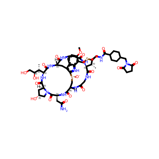 CC[C@H](C)[C@@H]1NC(=O)CCNC(=O)[C@@H]2Cc3c([nH]c4c(CSCCNC(=O)C5CCC(CN6C(=O)CCC6=O)CC5)c(OC)ccc34)[S+]([O-])C[C@H](NC(=O)CNC1=O)C(=O)N[C@@H](CC(N)=O)C(=O)N1C[C@H](O)C[C@H]1C(=O)N[C@@H]([C@@H](C)[C@@H](O)CO)C(=O)N2